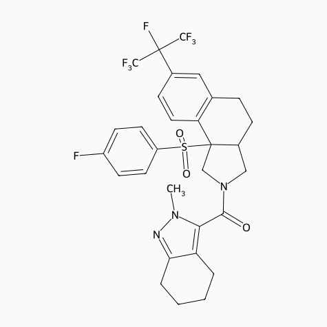 Cn1nc2c(c1C(=O)N1CC3CCc4cc(C(F)(C(F)(F)F)C(F)(F)F)ccc4C3(S(=O)(=O)c3ccc(F)cc3)C1)CCCC2